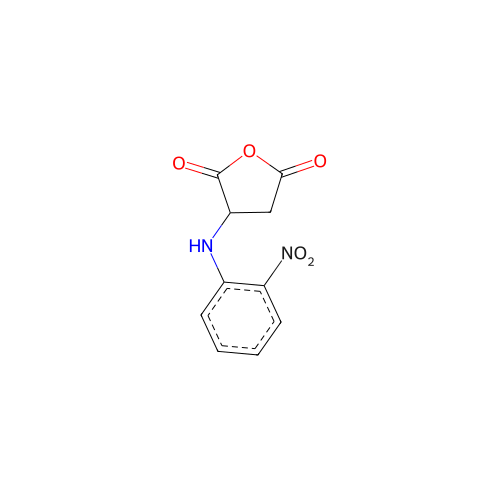 O=C1CC(Nc2ccccc2[N+](=O)[O-])C(=O)O1